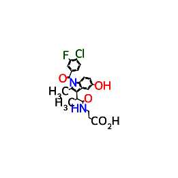 Cc1c(C(C)C(=O)NCCC(=O)O)c2cc(O)ccc2n1C(=O)c1ccc(Cl)c(F)c1